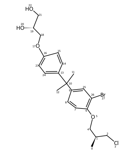 C[C@H](CCl)COc1ccc(C(C)(C)c2ccc(OC[C@H](O)CO)cc2)cc1Br